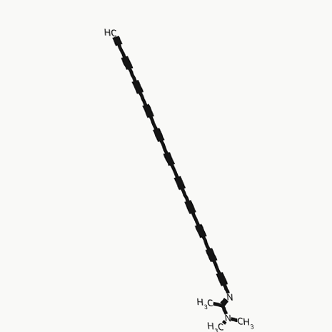 C#CC#CC#CC#CC#CC#CC#CC#CC#CC#CC#C/N=C(\C)N(C)C